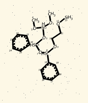 CO[SiH](OC)O[SiH](O[SiH](OCCO[SiH3])c1ccccc1)c1ccccc1